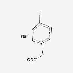 O=C([O-])Cc1ccc(F)cc1.[Na+]